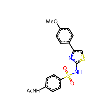 COc1ccc(-c2csc(NS(=O)(=O)c3ccc(NC(C)=O)cc3)n2)cc1